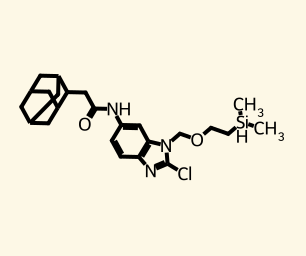 C[SiH](C)CCOCn1c(Cl)nc2ccc(NC(=O)CC3C4CC5CC(C4)CC3C5)cc21